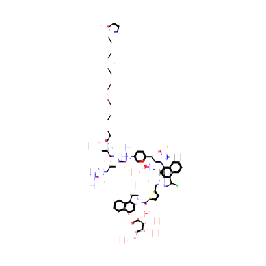 CC(C)[C@H](NC(=O)CCOCCOCCOCCOCCOCCOCCN1C(=O)C=CC1=O)C(=O)N[C@@H](CCCNC(N)=O)C(=O)Nc1ccc(CC(C(c2cc3c(c4ccccc24)C(CCl)CN3C(=O)c2ccc(C(=O)N3C[C@@H](CCl)c4c3cc(O[C@@H]3O[C@@H](CO)[C@@H](O)[C@H](O)[C@@H]3O)c3ccccc43)s2)N(C)C(=O)O)N(C)C(=O)O)cc1